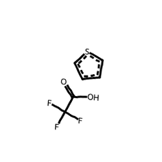 O=C(O)C(F)(F)F.c1ccsc1